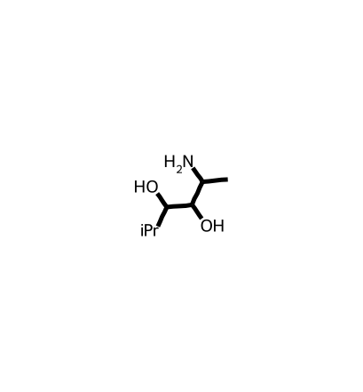 CC(C)C(O)C(O)C(C)N